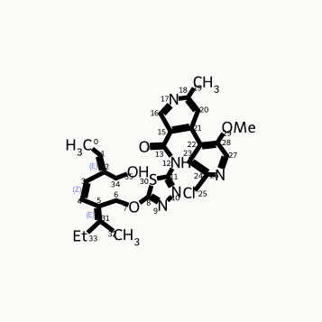 C\C=C(/C=C\C(COc1nnc(NC(=O)c2cnc(C)cc2-c2cc(Cl)ncc2OC)s1)=C(\C)CC)CO